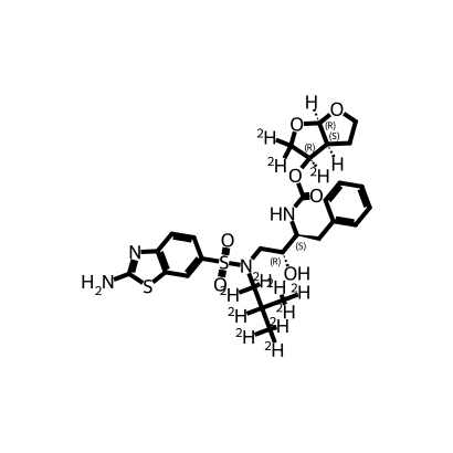 [2H]C([2H])([2H])C([2H])(C([2H])([2H])[2H])C([2H])([2H])N(C[C@@H](O)[C@H](Cc1ccccc1)NC(=O)O[C@]1([2H])[C@@H]2CCO[C@@H]2OC1([2H])[2H])S(=O)(=O)c1ccc2nc(N)sc2c1